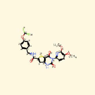 COc1ccc(-n2c(=O)[nH]c3cc(C(=O)NCc4ccc(OC(F)F)cc4)sc3c2=O)nc1OC